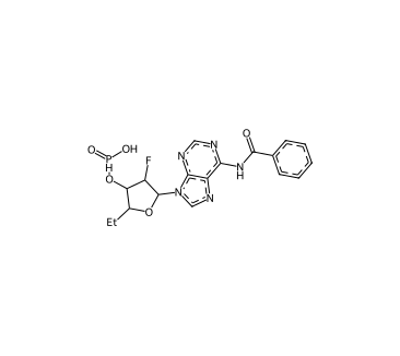 CCC1OC(n2cnc3c(NC(=O)c4ccccc4)ncnc32)C(F)C1O[PH](=O)O